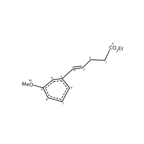 CCOC(=O)CC/C=C/c1cccc(OC)c1